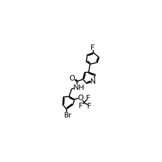 O=C(NCc1ccc(Br)cc1OC(F)(F)F)c1cncc(-c2ccc(F)cc2)c1